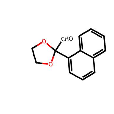 O=CC1(c2cccc3ccccc23)OCCO1